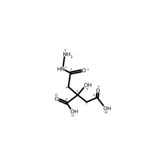 NNC(=O)CC(O)(CC(=O)O)C(=O)O